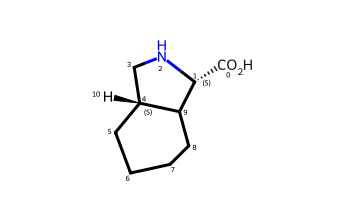 O=C(O)[C@H]1NC[C@H]2CCCCC21